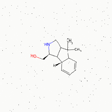 CC1(C)C2CN[C@H](CO)C2[C@H]2C=CC=CC21